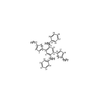 CCCc1ccc(-c2cc(Nc3ccccc3)c(-c3ccc(CCC)s3)cc2Nc2ccccc2)s1